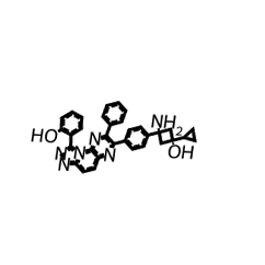 N[C@]1(c2ccc(-c3nc4ccc5nnc(-c6ccccc6O)n5c4nc3-c3ccccc3)cc2)C[C@](O)(C2CC2)C1